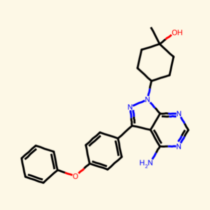 CC1(O)CCC(n2nc(-c3ccc(Oc4ccccc4)cc3)c3c(N)ncnc32)CC1